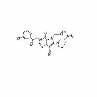 COc1cccc(C(=O)Cn2cnc3c(C#N)c(N4CCCC(N)C4)n(CC4C[C@H]4C)c3c2=O)c1